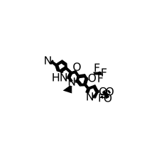 N#Cc1ccc2c(c1)[nH]c1c2c(=O)c2cc(OCC(F)(F)F)c(-c3cncc(OS(=O)(=O)F)c3)cc2n1C1CC1